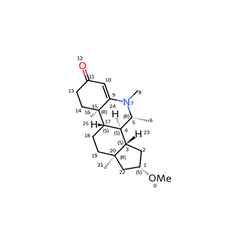 CO[C@H]1C[C@H]2[C@@H]3[C@@H](C)N(C)C4=CC(=O)CC[C@]4(C)[C@H]3CC[C@]2(C)C1